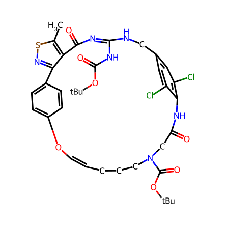 Cc1snc2c1C(=O)/N=C(\NC(=O)OC(C)(C)C)NCc1cc(Cl)c(c(Cl)c1)NC(=O)CN(C(=O)OC(C)(C)C)CCCC=COc1ccc-2cc1